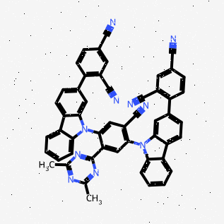 Cc1nc(C)nc(-c2cc(-n3c4ccccc4c4ccc(-c5ccc(C#N)cc5C#N)cc43)c(C#N)cc2-n2c3ccccc3c3ccc(-c4ccc(C#N)cc4C#N)cc32)n1